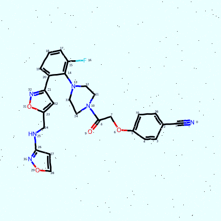 N#Cc1ccc(OCC(=O)N2CCN(c3c(F)cccc3-c3cc(CNc4ccon4)on3)CC2)cc1